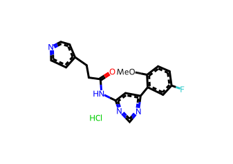 COc1ccc(F)cc1-c1cc(NC(=O)CCc2ccncc2)ncn1.Cl